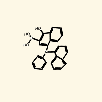 OB(O)c1cc(N(c2ccccc2)c2cccc3ccccc23)c2ccccc2c1O